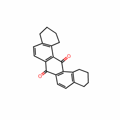 O=C1c2ccc3c(c2C(=O)c2c1ccc1c2CCCC1)CCCC3